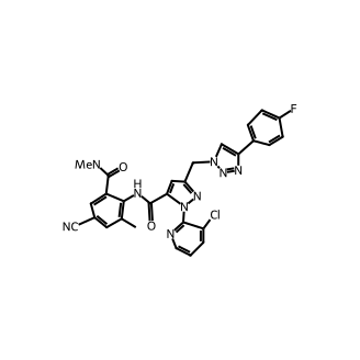 CNC(=O)c1cc(C#N)cc(C)c1NC(=O)c1cc(Cn2cc(-c3ccc(F)cc3)nn2)nn1-c1ncccc1Cl